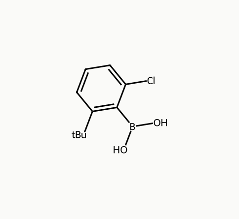 CC(C)(C)c1cccc(Cl)c1B(O)O